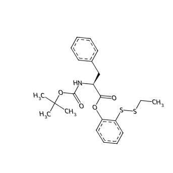 CCSSc1ccccc1OC(=O)[C@H](Cc1ccccc1)NC(=O)OC(C)(C)C